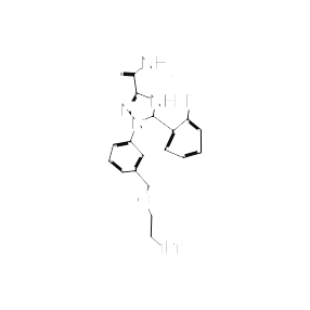 CC(C)CCOCc1cccc(N2N=C(C(N)=O)NC2c2ccccc2F)c1